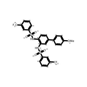 COc1ccc(-c2ccc(NS(=O)(=O)c3cccc(C(F)(F)F)c3)c(NS(=O)(=O)c3cccc(C(F)(F)F)c3)c2)cc1